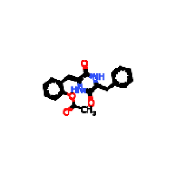 CC(=O)Oc1ccccc1C=c1[nH]c(=O)c(=Cc2ccccc2)[nH]c1=O